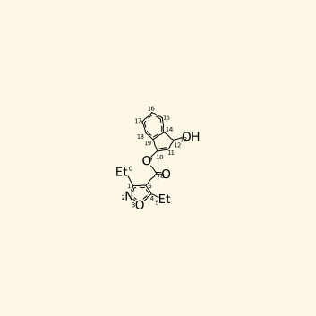 CCc1noc(CC)c1C(=O)OC1=CC(O)c2ccccc21